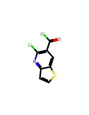 O=C(Cl)c1cc2sccc2nc1Cl